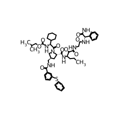 CCCC(NC(=O)[C@@H]1C[C@@H](CNC(=O)c2cccc(Sc3ccccc3)c2)CN1C(=O)[C@@H](NC(=O)OCC(C)C)C1CCCCC1)C(=O)C(=O)NCC(=O)N[C@H](C(N)=O)c1ccccc1